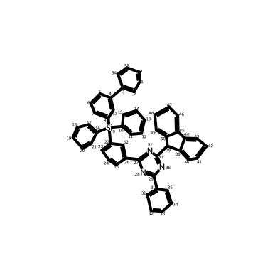 c1ccc(-c2cccc([Si](c3ccccc3)(c3ccccc3)c3cccc(-c4nc(-c5ccccc5)nc(C5c6ccccc6-c6ccccc65)n4)c3)c2)cc1